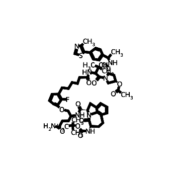 CC(=O)O[C@@H]1C[C@@H](C(=O)NC(C)c2ccc(-c3scnc3C)cc2)N(C(=O)C(NC(=O)CCCCCc2cccc(OCC(CCC(N)=O)NC(=O)[C@@H]3Cc4cccc5c4N3C(=O)[C@@H](NC(=O)OC(C)(C)C)CC5)c2F)C(C)(C)C)C1